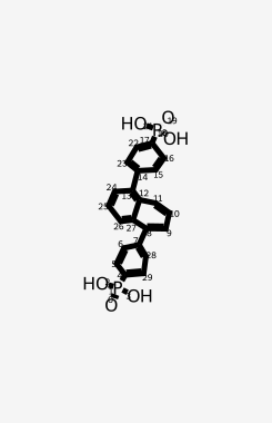 O=P(O)(O)c1ccc(-c2cccc3c(-c4ccc(P(=O)(O)O)cc4)cccc23)cc1